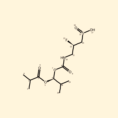 CC(C)C(=O)O[C@@H](OC(=O)NC[C@@H](F)CS(=O)O)C(C)C